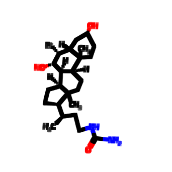 CC[C@H]1[C@@H](O)[C@@H]2[C@@H]3CC[C@H]([C@H](C)CCNC(N)=O)C3(C)CC[C@@H]2C2(C)CC[C@@H](O)C[C@@H]12